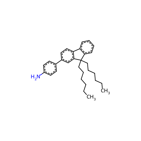 CCCCCCC1(CCCCCC)c2ccccc2-c2ccc(-c3ccc(N)cc3)cc21